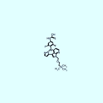 CC(C)n1nccc1-c1cn(COCC[Si](C)(C)C)c2nccc(Oc3c(F)cc(NC(O)=S)cc3F)c12